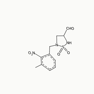 Cc1cccc(CN2CC(C=O)NS2(=O)=O)c1[N+](=O)[O-]